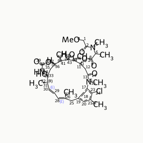 COCC(=O)N(C)C(C)C(=O)O[C@H]1CC(=O)N(C)c2cc(cc(C)c2Cl)C/C(C)=C/C=C/[C@@H](C)[C@@]2(O)C[C@H](OC(=O)N2)[C@@H](C)[C@@H]2O[C@@]12C